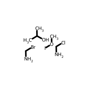 CC(C)O.COI.NCBr.NCCl